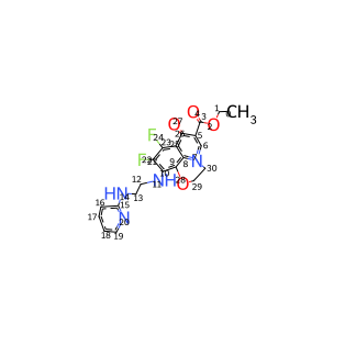 CCOC(=O)c1cn2c3c(c(NCCNc4ccccn4)c(F)c(F)c3c1=O)OCC2